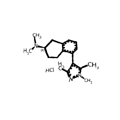 Cc1nn(C)c(C)c1-c1cccc2c1CC[C@@H](N(C)C)C2.Cl